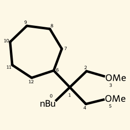 CCCCC(COC)(COC)C1CCCCCC1